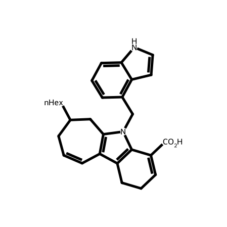 CCCCCCC1CC=Cc2c3c(n(Cc4cccc5[nH]ccc45)c2C1)C(C(=O)O)=CCC3